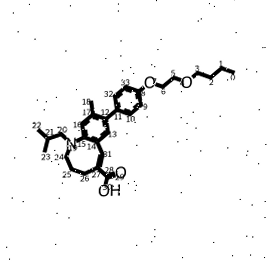 CCCCOCCOc1ccc(-c2cc3c(cc2C)N(CC(C)C)CCCC(C(=O)O)=C3)cc1